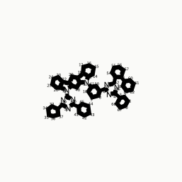 c1ccc(-c2nc(-c3cccc(-n4c5ccccc5c5cc6c7ccccc7n(-c7nc(-c8ccccc8)nc(-c8ccccc8)n7)c6cc54)c3)nc(-c3ccccc3-c3ccccc3)n2)cc1